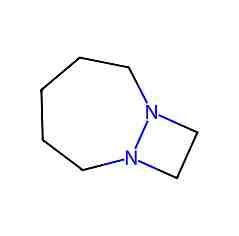 C1CCN2CCN2CC1